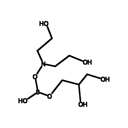 OCCN(CCO)OB(O)OCC(O)CO